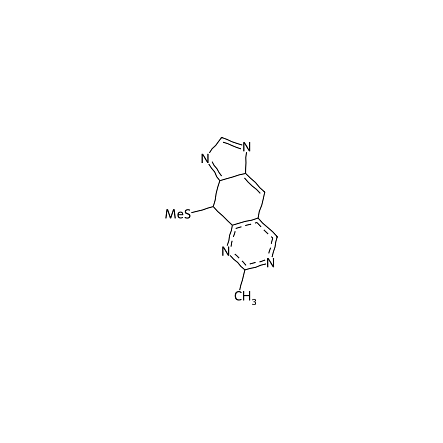 CSC1C2=NC=NC2=Cc2cnc(C)nc21